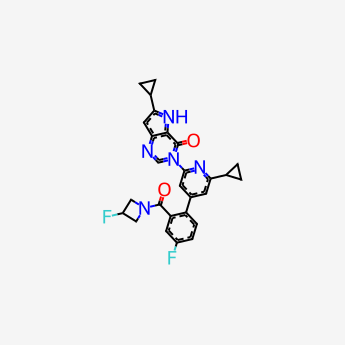 O=C(c1cc(F)ccc1-c1cc(C2CC2)nc(-n2cnc3cc(C4CC4)[nH]c3c2=O)c1)N1CC(F)C1